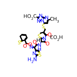 Cc1cc(SCC2=C(OC(=O)O)N3C(=O)[C@@H](NC(=O)/C(=N\OC(=O)C4=CC=CCC4=S)c4csc(N)n4)[C@H]3SC2)n2nc(C(=O)O)nc2n1